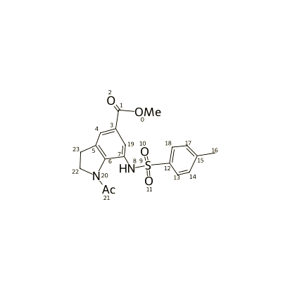 COC(=O)c1cc2c(c(NS(=O)(=O)c3ccc(C)cc3)c1)N(C(C)=O)CC2